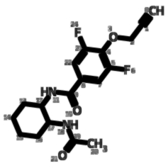 C#CCOc1c(F)cc(C(=O)NC2CCCCC2NC(C)=O)cc1F